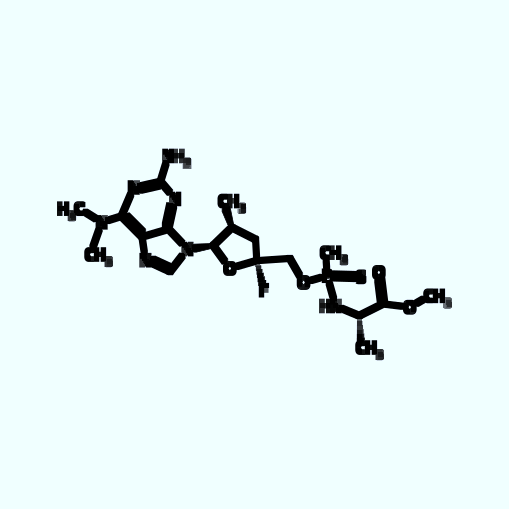 COC(=O)[C@H](C)NP(C)(=S)OC[C@]1(F)C[C@H](C)[C@H](n2cnc3c(N(C)C)nc(N)nc32)O1